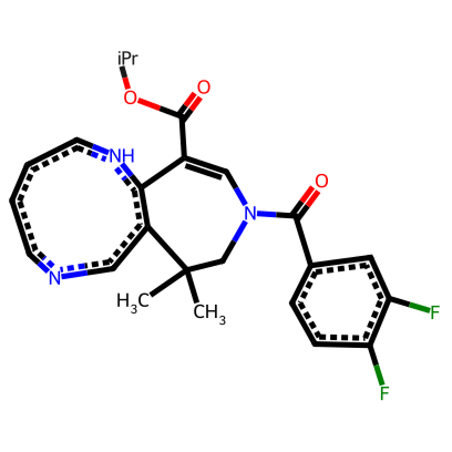 CC(C)OC(=O)C1=CN(C(=O)c2ccc(F)c(F)c2)CC(C)(C)c2cncccc[nH]c21